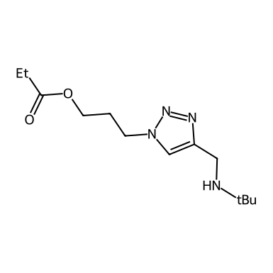 CCC(=O)OCCCn1cc(CNC(C)(C)C)nn1